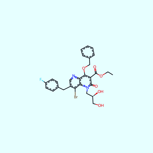 CCOC(=O)c1c(OCc2ccccc2)c2ncc(Cc3ccc(F)cc3)c(Br)c2n(C[C@@H](O)CO)c1=O